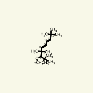 COC(C(C)(C)C)C(C)(C)/C=C/C=C/C(C)(C)C